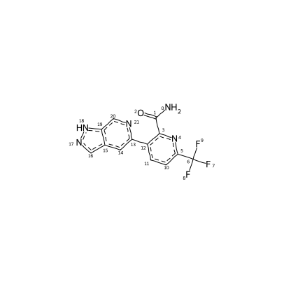 NC(=O)c1nc(C(F)(F)F)ccc1-c1cc2cn[nH]c2cn1